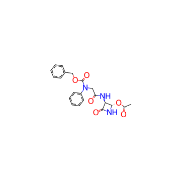 CC(=O)O[C@@H]1NC(=O)[C@H]1NC(=O)CN(C(=O)OCc1ccccc1)c1ccccc1